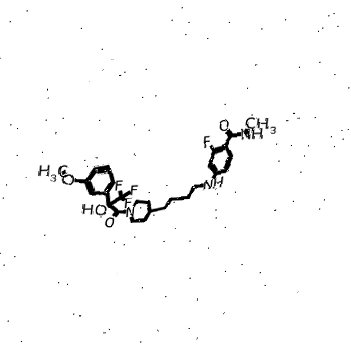 CNC(=O)c1ccc(NCCCCC2CCN(C(=O)[C@](O)(c3cccc(OC)c3)C(F)(F)F)CC2)cc1F